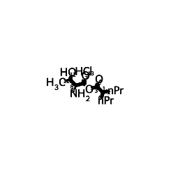 CCCC(CCC)C(=O)OC(=O)[C@@H](N)[C@@H](C)O.Cl